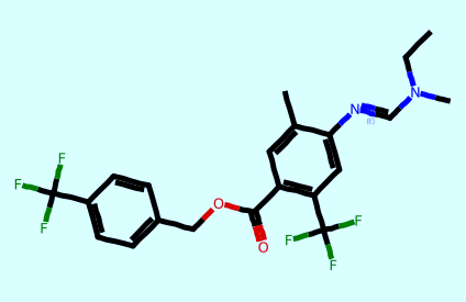 CCN(C)/C=N/c1cc(C(F)(F)F)c(C(=O)OCc2ccc(C(F)(F)F)cc2)cc1C